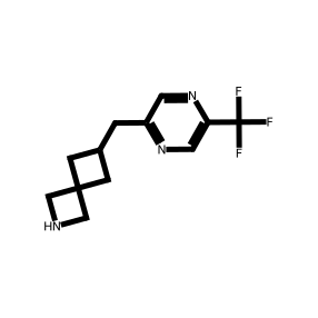 FC(F)(F)c1cnc(CC2CC3(CNC3)C2)cn1